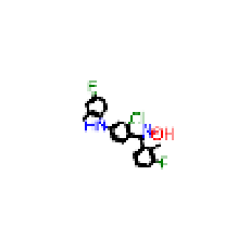 Cc1cc(F)ccc1Nc1ccc(C(=NO)c2cccc(F)c2C)c(Cl)c1